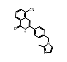 Cc1nccn1Cc1ccc(-c2cc3c(C#N)cccc3c(=O)[nH]2)cc1